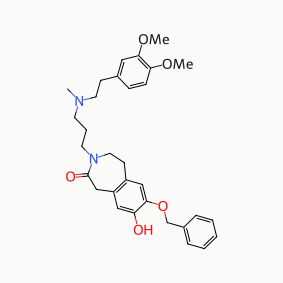 COc1ccc(CCN(C)CCCN2CCc3cc(OCc4ccccc4)c(O)cc3CC2=O)cc1OC